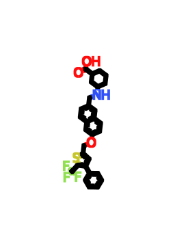 O=C(O)C1CCCC(NCc2ccc3cc(OCc4cc(-c5ccccc5)c(C(F)(F)F)s4)ccc3c2)C1